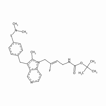 Cc1c(Cc2ccc(SN(C)C)cc2)c2cnccc2n1C/C(F)=C/CNC(=O)OC(C)(C)C